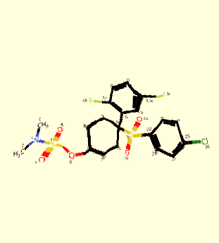 CN(C)S(=O)(=O)OC1CCC(c2cc(F)ccc2F)(S(=O)(=O)c2ccc(Cl)cc2)CC1